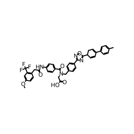 COc1ccc(CC(=O)Nc2ccc(C(=O)N(CC(=O)O)Cc3ccc(-c4noc(C5C=CC(c6ccc(C)cc6)=CC5)n4)cc3)cc2)c(C(F)(F)F)c1